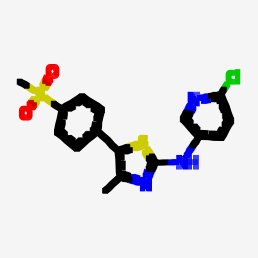 Cc1nc(Nc2ccc(Cl)nc2)sc1-c1ccc(S(C)(=O)=O)cc1